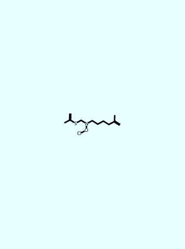 C=C(C)CCCCN(CSC(=C)C)OCl